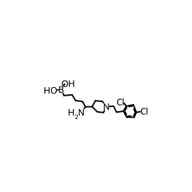 NC(CCCCB(O)O)C1CCN(CCc2ccc(Cl)cc2Cl)CC1